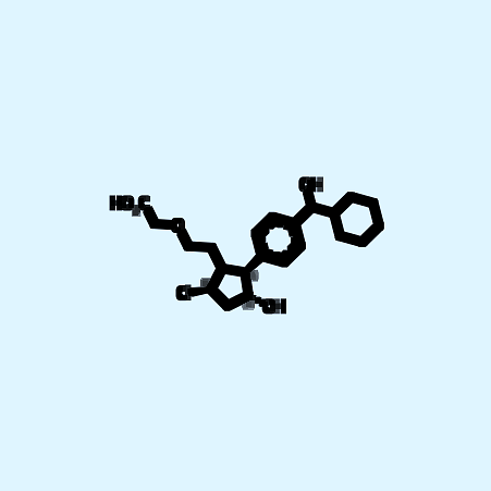 O=C(O)COCCC1[C@H](Cl)C[C@@H](O)[C@@H]1c1ccc(C(O)C2CCCCC2)cc1